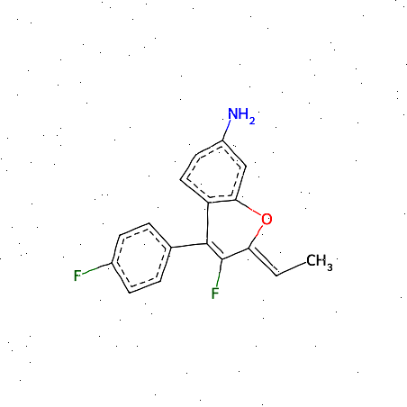 C/C=C1\Oc2cc(N)ccc2C(c2ccc(F)cc2)=C1F